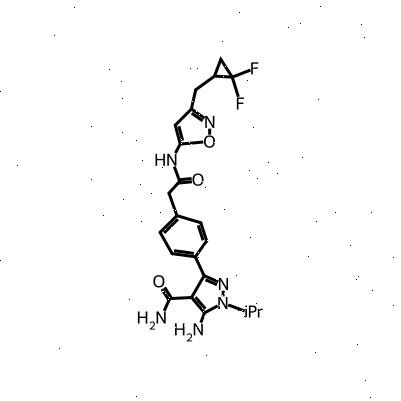 CC(C)n1nc(-c2ccc(CC(=O)Nc3cc(CC4CC4(F)F)no3)cc2)c(C(N)=O)c1N